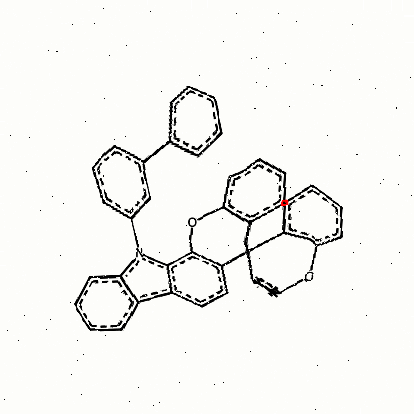 c1ccc(-c2cccc(-n3c4ccccc4c4ccc5c(c43)Oc3ccccc3C53c4ccccc4Oc4ccccc43)c2)cc1